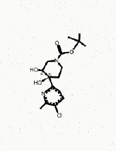 Cc1nc([C@@]2(O)CCN(C(=O)OC(C)(C)C)C[C@@H]2O)ccc1Cl